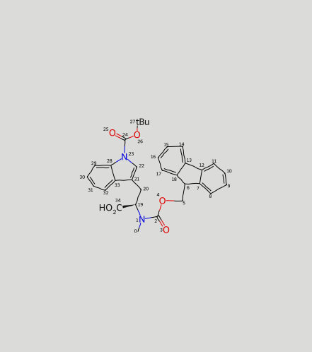 CN(C(=O)OCC1c2ccccc2-c2ccccc21)[C@H](Cc1cn(C(=O)OC(C)(C)C)c2ccccc12)C(=O)O